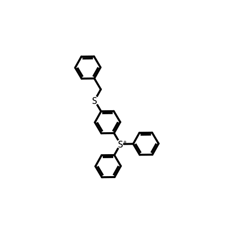 c1ccc(CSc2ccc([S+](c3ccccc3)c3ccccc3)cc2)cc1